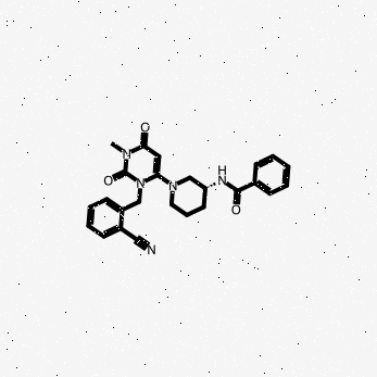 Cn1c(=O)cc(N2CCC[C@@H](NC(=O)c3ccccc3)C2)n(Cc2ccccc2C#N)c1=O